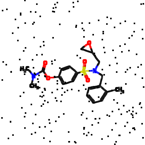 Cc1ccccc1CN(CC1CO1)S(=O)(=O)c1ccc(OC(=O)N(C)C)cc1